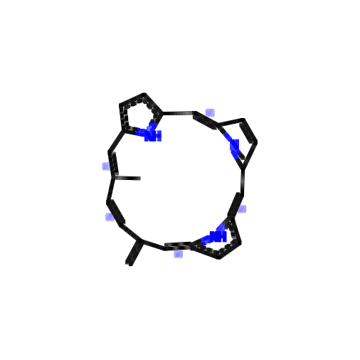 C=C1/C=C\C(C)=C\c2ccc([nH]2)/C=C2/C=CC(=N2)/C=c2/cc/c([nH]2)=C/1